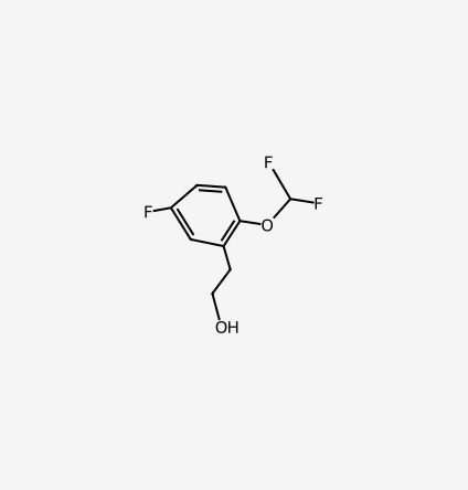 OCCc1cc(F)ccc1OC(F)F